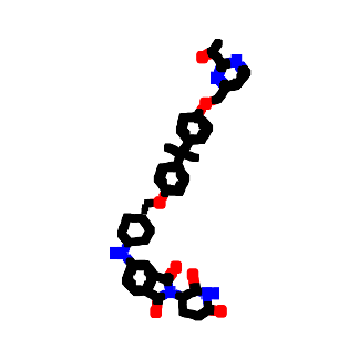 CC(=O)c1nccc(COc2ccc(C(C)(C)c3ccc(OC[C@H]4CC[C@H](Nc5ccc6c(c5)C(=O)N(C5CCC(=O)NC5=O)C6=O)CC4)cc3)cc2)n1